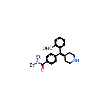 CCN(CC)C(=O)c1ccc(C(=C2CCNCC2)c2ccccc2C=O)cc1